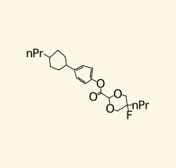 CCCC1CCC(c2ccc(OC(=O)C3OCC(F)(CCC)CO3)cc2)CC1